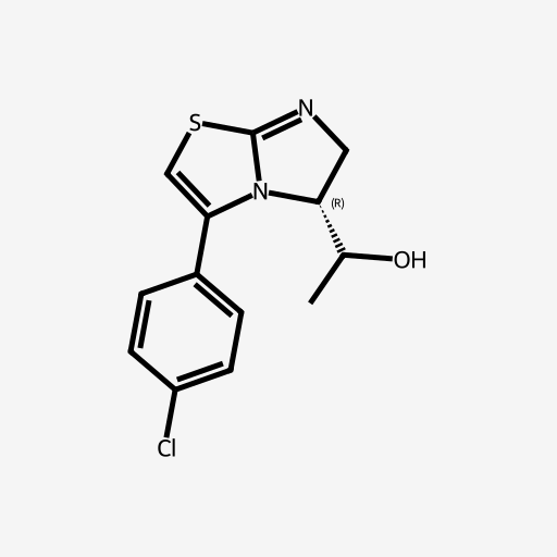 CC(O)[C@H]1CN=C2SC=C(c3ccc(Cl)cc3)N21